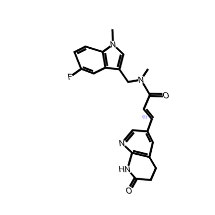 CN(Cc1cn(C)c2ccc(F)cc12)C(=O)/C=C/c1cnc2c(c1)CCC(=O)N2